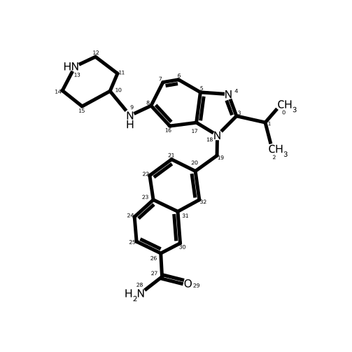 CC(C)c1nc2ccc(NC3CCNCC3)cc2n1Cc1ccc2ccc(C(N)=O)cc2c1